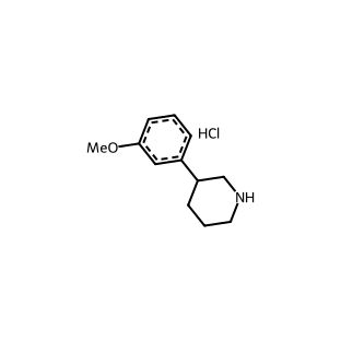 COc1cccc(C2CCCNC2)c1.Cl